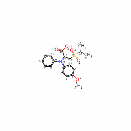 COc1ccc2c(c1)c(S(=O)(=O)C(C)C)c(C(=O)O)n2-c1ccccc1